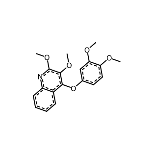 COc1ccc(Oc2c(OC)c(OC)nc3ccccc23)cc1OC